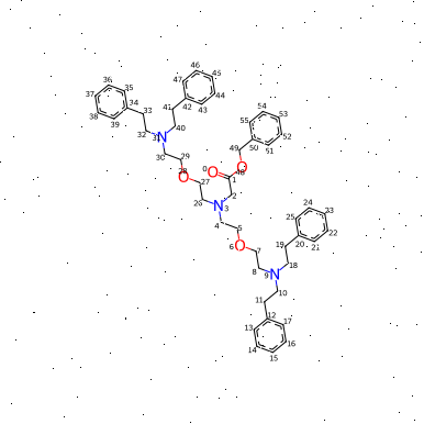 O=C(CN(CCOCCN(CCc1ccccc1)CCc1ccccc1)CCOCCN(CCc1ccccc1)CCc1ccccc1)OCc1ccccc1